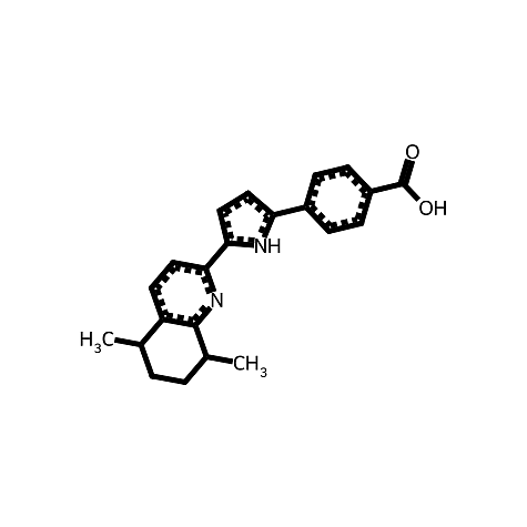 CC1CCC(C)c2nc(-c3ccc(-c4ccc(C(=O)O)cc4)[nH]3)ccc21